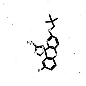 CC(C)(C)COc1ccc2c(n1)[C@]1(COC(N)=N1)c1cc(Br)ccc1O2